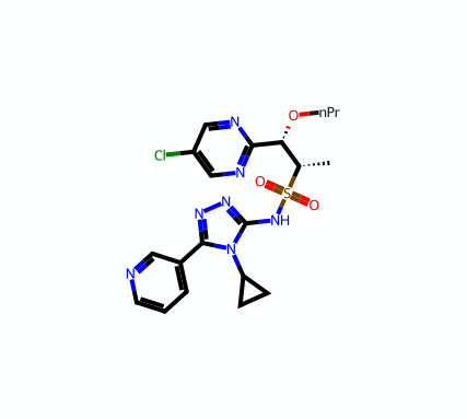 CCCO[C@@H](c1ncc(Cl)cn1)[C@H](C)S(=O)(=O)Nc1nnc(-c2cccnc2)n1C1CC1